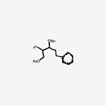 CCCC(COC)C(CCc1ccccc1)OC